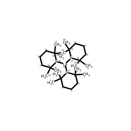 CC1(C)CCCC(C)(C)[N]1[La]([N]1C(C)(C)CCCC1(C)C)[N]1C(C)(C)CCCC1(C)C